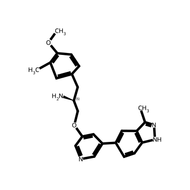 COc1ccc(C[C@H](N)COc2cncc(-c3ccc4[nH]nc(C)c4c3)c2)cc1C